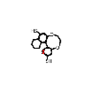 Sc1cc2c(c3c1CCCC3)-c1c(cc(S)c3c1CCCC3)OCCCO2